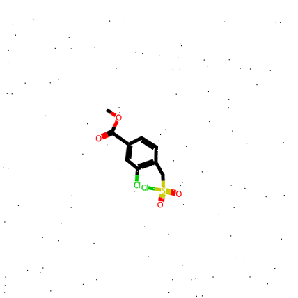 COC(=O)c1ccc(CS(=O)(=O)Cl)c(Cl)c1